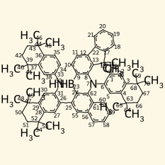 Cc1cc2c(cc1N1c3c(ccc4c3C(C)(C)c3ccccc3-4)Bc3c(-c4cc5c(cc4Nc4ccc6c(c4)C(C)(C)CCC6(C)C)C(C)(C)CCC5(C)C)cc4ccccc4c31)C(C)(C)CCC2(C)C